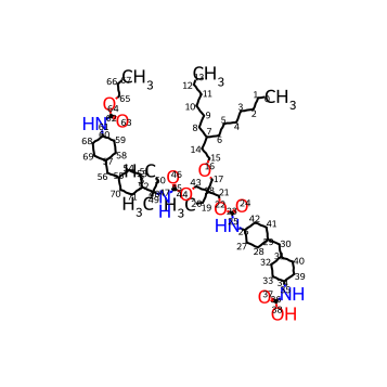 CCCCCCCC(CCCCCC)CCOCC(CC)(COC(=O)NC1CCC(CC2CCC(NC(=O)O)CC2)CC1)COC(=O)NC(C)(CC)C1CCC(CC2CCC(NC(=O)OCCC)CC2)CC1